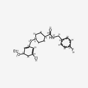 CCOC1C=C(SN2CCC(C(=O)NCc3ccc(F)cc3)CC2)C=C(Cl)C1